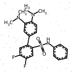 CN(C)c1ccc(-c2cc(F)c(F)cc2S(=O)(=O)Nc2ccccc2)cc1N(C)C